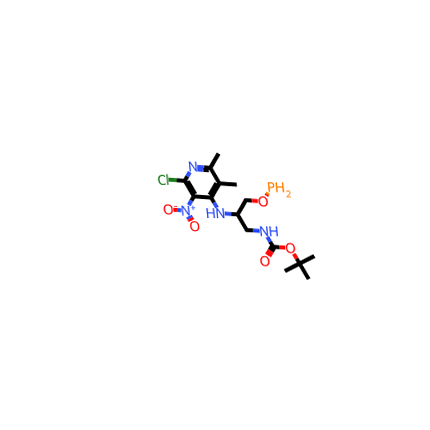 Cc1nc(Cl)c([N+](=O)[O-])c(NC(CNC(=O)OC(C)(C)C)COP)c1C